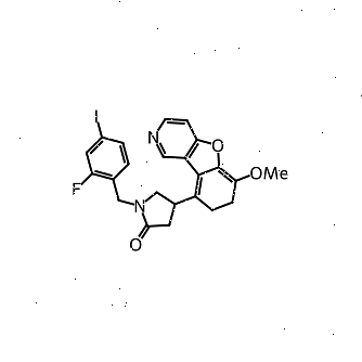 COC1=c2oc3ccncc3c2=C(C2CC(=O)N(Cc3ccc(I)cc3F)C2)CC1